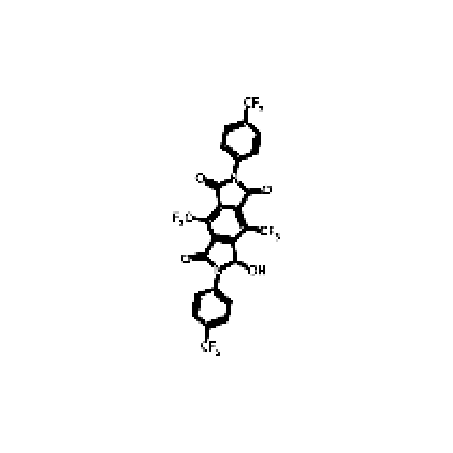 O=C1c2c(c(C(F)(F)F)c3c(c2C(F)(F)F)C(=O)N(c2ccc(C(F)(F)F)cc2)C3O)C(=O)N1c1ccc(C(F)(F)F)cc1